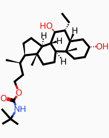 CC[C@H]1[C@@H](O)[C@@H]2[C@H](CC[C@]3(C)[C@@H]([C@H](C)CCOC(=O)NC(C)(C)C)CC[C@@H]23)[C@@]2(C)CC[C@@H](O)C[C@@H]12